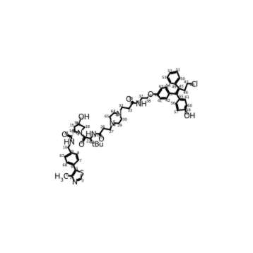 Cc1ncsc1-c1ccc(CNC(=O)[C@@H]2C[C@@H](O)CN2C(=O)C(NC(=O)CCN2CCN(CCC(=O)NCCOc3ccc(C(=C(CCCl)c4ccccc4)c4ccc(O)cc4)cc3)CC2)C(C)(C)C)cc1